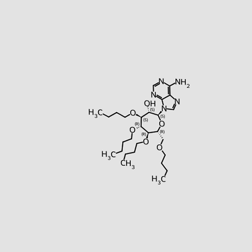 CCCCOC[C@H]1O[C@H](n2cnc3c(N)ncnc32)[C@@H](O)[C@H](OCCCC)[C@@H](OCCCC)[C@@H]1OCCCC